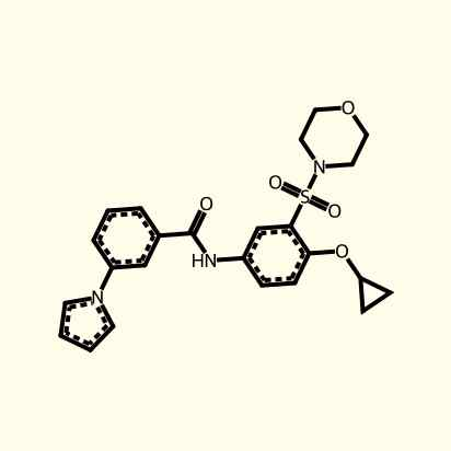 O=C(Nc1ccc(OC2CC2)c(S(=O)(=O)N2CCOCC2)c1)c1cccc(-n2cccc2)c1